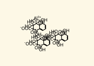 O=C([O-])C1(O)N(O)C2=CC=CC(O)C2(O)C(O)(O)C1(O)O.O=C([O-])C1(O)N(O)C2=CC=CC(O)C2(O)C(O)(O)C1(O)O.O=C([O-])C1(O)N(O)C2=CC=CC(O)C2(O)C(O)(O)C1(O)O.[Al+3]